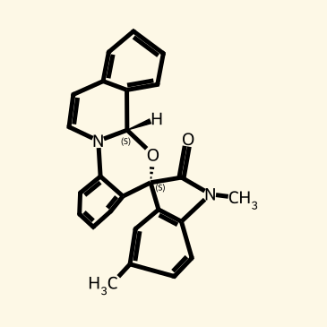 Cc1ccc2c(c1)[C@]1(O[C@H]3c4ccccc4C=CN3c3ccccc31)C(=O)N2C